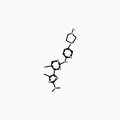 CC(=O)N1CCN(c2ccc(Nc3ncc(F)c(-c4sc(N(C)C)nc4C)n3)nc2)CC1